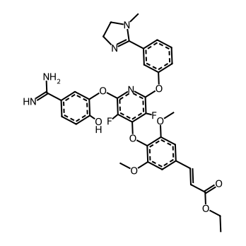 CCOC(=O)C=Cc1cc(OC)c(Oc2c(F)c(Oc3cccc(C4=NCCN4C)c3)nc(Oc3cc(C(=N)N)ccc3O)c2F)c(OC)c1